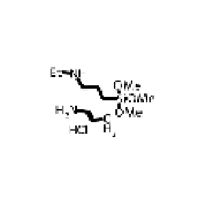 CC=CN.CCNCCC[Si](OC)(OC)OC.Cl